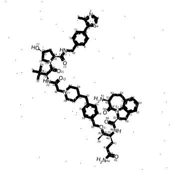 Cc1ncsc1-c1ccc(CNC(=O)[C@@H]2C[C@@H](O)CN2C(=O)[C@@H](NC(=O)CN2CCC(Cc3ccc(CO[C@H](C)[C@H](CCC(N)=O)NC(=O)[C@@H]4Cc5cccc6c5N4C(=O)[C@@H](N)CC6)cc3)CC2)C(C)(C)C)cc1